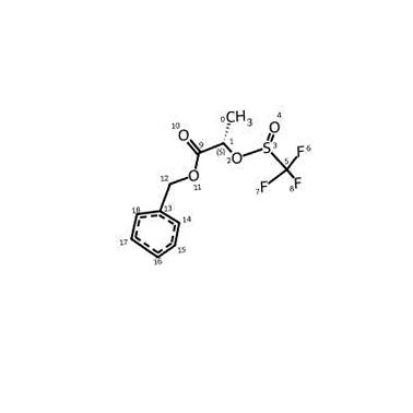 C[C@H](OS(=O)C(F)(F)F)C(=O)OCc1ccccc1